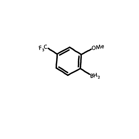 Bc1ccc(C(F)(F)F)cc1OC